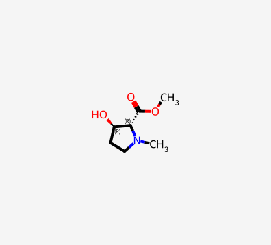 COC(=O)[C@H]1[C@H](O)CCN1C